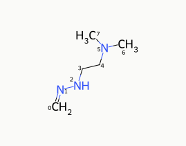 C=NNCCN(C)C